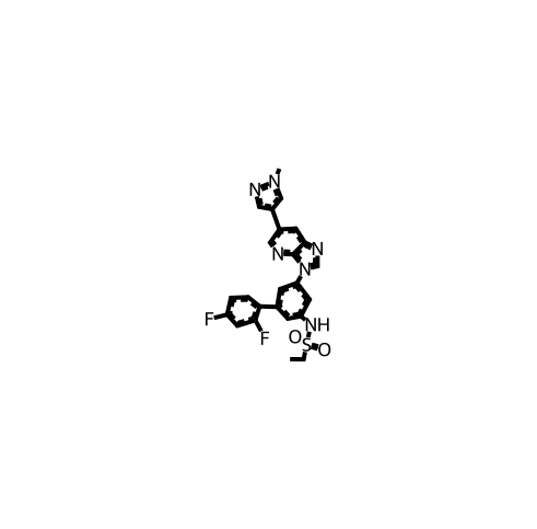 CCS(=O)(=O)Nc1cc(-c2ccc(F)cc2F)cc(-n2cnc3cc(-c4cnn(C)c4)cnc32)c1